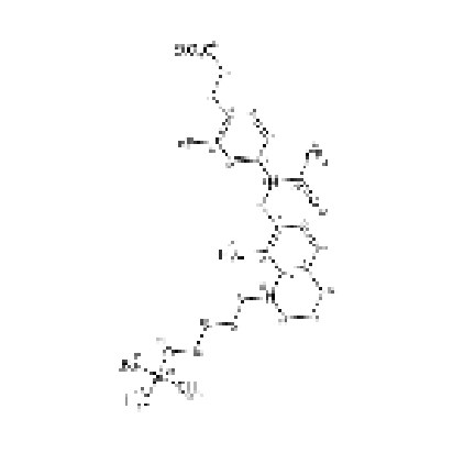 CCOC(=O)CCc1ccc(N(Cc2ccc3c(c2C)N(CCCCO[Si](C)(C)C(C)(C)C)CCC3)C(=O)C(F)(F)F)cc1F